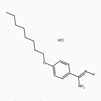 CCCCCCCCOc1ccc(C(N)=NF)cc1.Cl